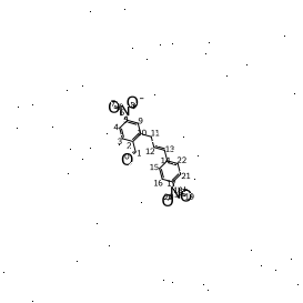 O=Cc1ccc([N+](=O)[O-])cc1CC=Cc1ccc([N+](=O)[O-])cc1